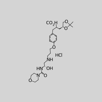 CC1(C)OC[C@H](CC(Cc2ccc(OCCCNC[C@H](O)NC(=O)N3CCOCC3)cc2)C(=O)O)O1.Cl